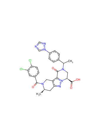 CC(c1ccc(-n2cncn2)cc1)N1C[C@@H](C(=O)O)n2nc3c(c2C1=O)CN(C(=O)c1ccc(Cl)c(Cl)c1)[C@H](C)C3